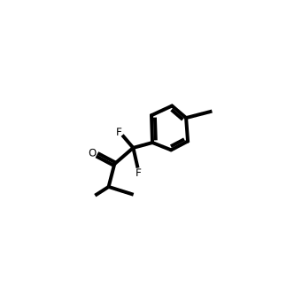 Cc1ccc(C(F)(F)C(=O)C(C)C)cc1